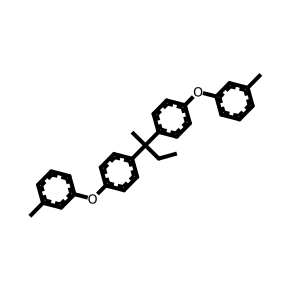 CCC(C)(c1ccc(Oc2cccc(C)c2)cc1)c1ccc(Oc2cccc(C)c2)cc1